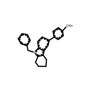 COc1ccc(-c2ccc3c(c2)c2c(n3Cc3ccccc3)CCCC2)cc1